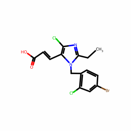 CCc1nc(Cl)c(C=CC(=O)O)n1Cc1ccc(Br)cc1Cl